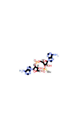 CC(C)(C)S[P@@]1(=O)OC[C@H]2O[C@@H](n3cnc4c(N)ncnc43)[C@H](O[PH](=O)OC[C@H]3O[C@@H](n4cnc5c(N)ncnc54)[C@H](O)[C@@H]3O1)[C@@H]2O